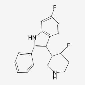 Fc1ccc2c(C3CNCCC3F)c(-c3ccccc3)[nH]c2c1